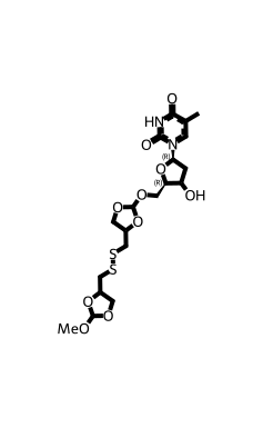 COC1OCC(CSSCC2COC(OC[C@H]3O[C@@H](n4cc(C)c(=O)[nH]c4=O)CC3O)O2)O1